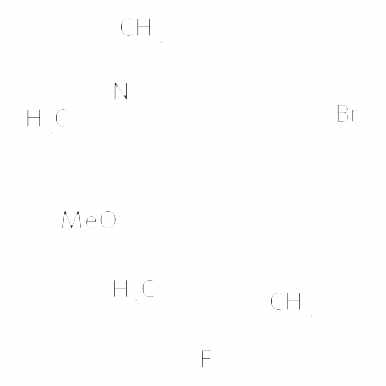 COc1c(N(C)C)cc(Br)cc1C(C)(C)F